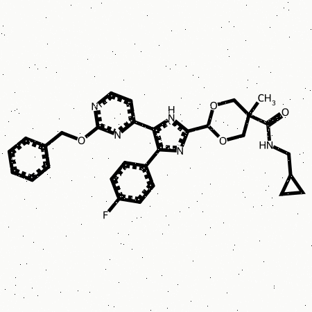 CC1(C(=O)NCC2CC2)COC(c2nc(-c3ccc(F)cc3)c(-c3ccnc(OCc4ccccc4)n3)[nH]2)OC1